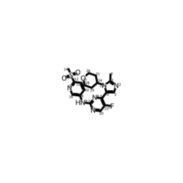 Cc1ncc(-c2nc(Nc3ccc(S(C)(=O)=O)nc3)ncc2F)n1C1CCOCC1